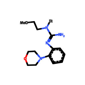 CCN(CCOC)/C(N)=N/c1ccccc1N1CCOCC1